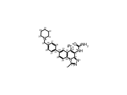 Cc1nnc2c(NC(N)=O)c(C(C)C)c3cc(-c4ccc(CN5CCCCC5)cc4)ccc3n12